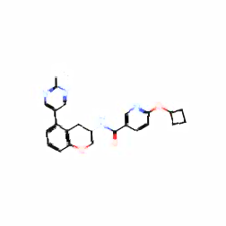 Cc1ncc(-c2cccc3c2C[C@H](NC(=O)c2ccc(OC4CCC4)nc2)CO3)cn1